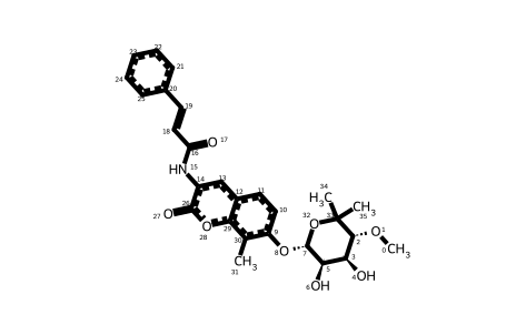 CO[C@@H]1[C@@H](O)[C@@H](O)[C@H](Oc2ccc3cc(NC(=O)C=Cc4ccccc4)c(=O)oc3c2C)OC1(C)C